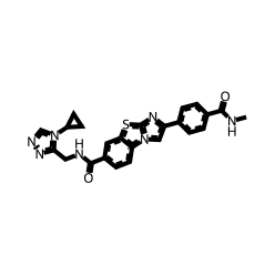 CNC(=O)c1ccc(-c2cn3c(n2)sc2cc(C(=O)NCc4nncn4C4CC4)ccc23)cc1